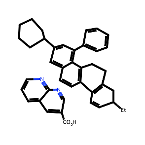 CCC1C=CC2=C(CCc3c2ccc2cc(C4CCCCC4)cc(-c4ccccc4)c32)C1.O=C(O)c1cnc2ncccc2c1